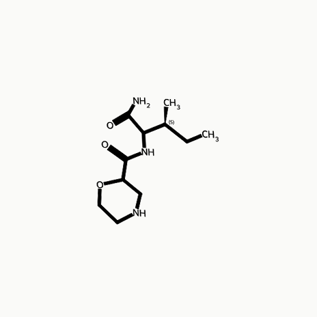 CC[C@H](C)C(NC(=O)C1CNCCO1)C(N)=O